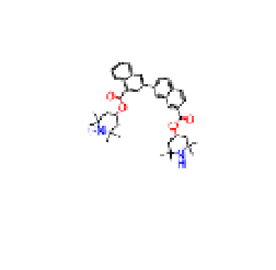 CC1(C)CC(OC(=O)c2ccc3ccc(-c4cc(C(=O)OC5CC(C)(C)NC(C)(C)C5)c5ccccc5c4)cc3c2)CC(C)(C)N1